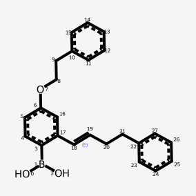 OB(O)c1ccc(OCCc2ccccc2)cc1/C=C/CCc1ccccc1